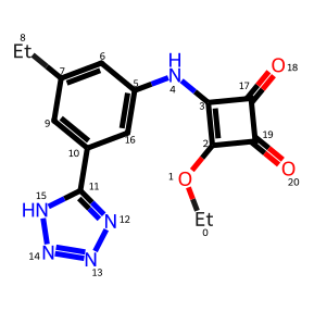 CCOc1c(Nc2cc(CC)cc(-c3nnn[nH]3)c2)c(=O)c1=O